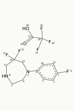 Fc1ccc(N2CCNCC(F)(F)C2)cc1.O=C(O)C(F)(F)F